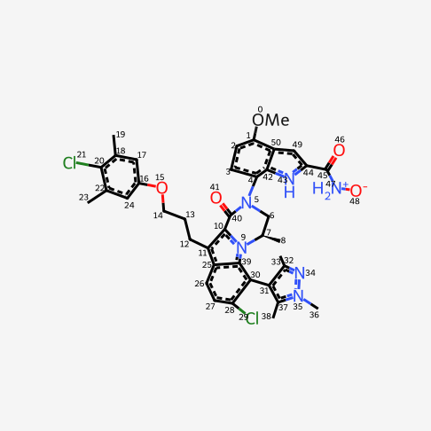 COc1ccc(N2C[C@@H](C)n3c(c(CCCOc4cc(C)c(Cl)c(C)c4)c4ccc(Cl)c(-c5c(C)nn(C)c5C)c43)C2=O)c2[nH]c(C(=O)[NH2+][O-])cc12